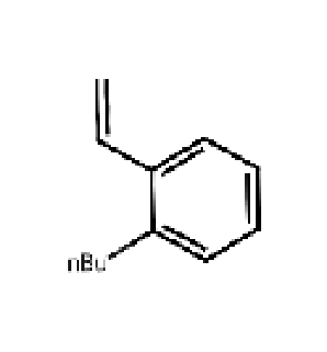 C=Cc1ccccc1CCCC